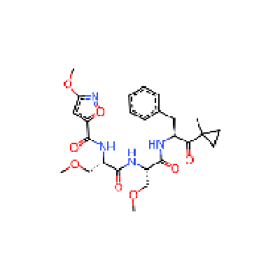 COC[C@H](NC(=O)c1cc(OC)no1)C(=O)N[C@@H](COC)C(=O)N[C@@H](Cc1ccccc1)C(=O)C1(C)CC1